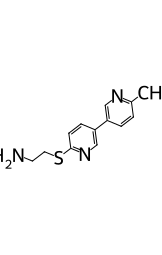 Cc1ccc(-c2ccc(SCCN)nc2)cn1